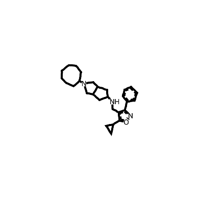 c1ccc(-c2noc(C3CC3)c2CNC2CC3CN(C4CCCCCCC4)CC3C2)cc1